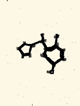 CN(c1nc(Cl)ncc1Br)C1CCCC1